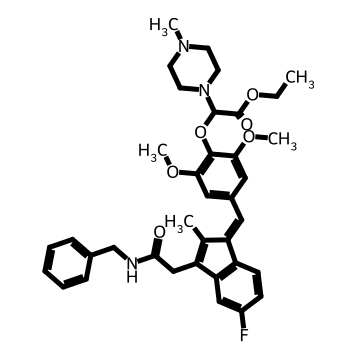 CCOC(=O)C(Oc1c(OC)cc(C=C2C(C)=C(CC(=O)NCc3ccccc3)c3cc(F)ccc32)cc1OC)N1CCN(C)CC1